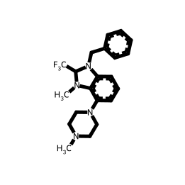 CN1CCN(c2cccc3c2N(C)C(C(F)(F)F)N3Cc2ccccc2)CC1